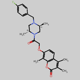 Cc1c(C)c2ccc(OCC(=O)N3C[C@H](C)N(Cc4ccc(F)cc4)C[C@H]3C)c(C)c2oc1=O